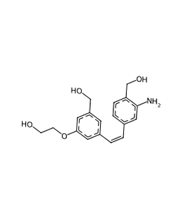 Nc1cc(/C=C\c2cc(CO)cc(OCCO)c2)ccc1CO